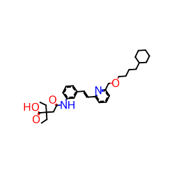 CCC(CC)(CC(=O)Nc1cccc(C=Cc2cccc(COCCCCC3CCCCC3)n2)c1)C(=O)O